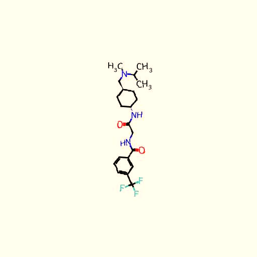 CC(C)N(C)C[C@H]1CC[C@H](NC(=O)CNC(=O)c2cccc(C(F)(F)F)c2)CC1